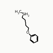 C[SiH2]CCCCOc1ccccc1